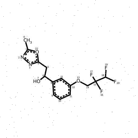 Cc1nnc(CC(O)c2cccc(OCC(F)(F)C(F)F)c2)o1